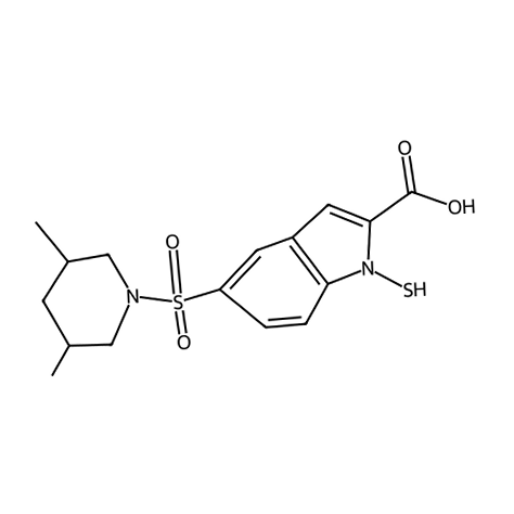 CC1CC(C)CN(S(=O)(=O)c2ccc3c(c2)cc(C(=O)O)n3S)C1